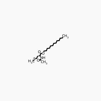 CCCCCCCCCCCCCOC(=O)[C@H](CCSC)NC(C)=O